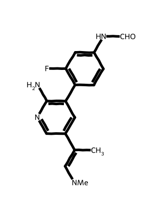 CN/C=C(\C)c1cnc(N)c(-c2ccc(NC=O)cc2F)c1